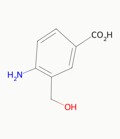 Nc1ccc(C(=O)O)cc1CO